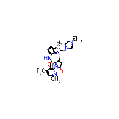 Cc1cc(C(F)(F)F)cc(N2C(=O)CC3CN(CCN4CCN(C)CC4)c4c(C)cccc4NC(=O)[C@H]32)n1